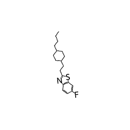 CCCCC1CCC(CCc2nc3ccc(F)cc3s2)CC1